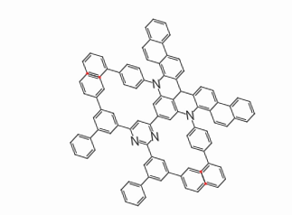 c1ccc(-c2ccc(N3c4cc(-c5cc(-c6cc(-c7ccccc7)cc(-c7ccccc7)c6)nc(-c6cc(-c7ccccc7)cc(-c7ccccc7)c6)n5)cc5c4C(c4ccc6c(ccc7ccccc76)c43)c3ccc4c(ccc6ccccc64)c3N5c3ccc(-c4ccccc4)cc3)cc2)cc1